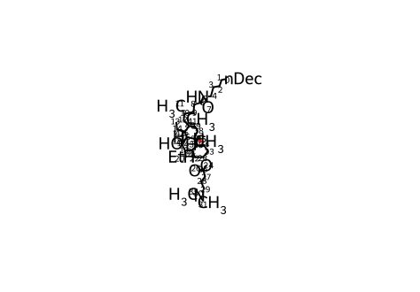 CCCCCCCCCCCCCCNC(=O)CC[C@@H](C)[C@H]1CC[C@H]2[C@@H]3[C@H](O)[C@H](CC)[C@@H]4C[C@H](OC(=O)CCCN(C)C)CC[C@]4(C)[C@H]3CC[C@]12C